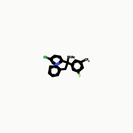 CC(=O)NC(Cc1ccccc1)(c1cc(F)cc(C(F)(F)F)c1)c1ccc(Cl)cn1